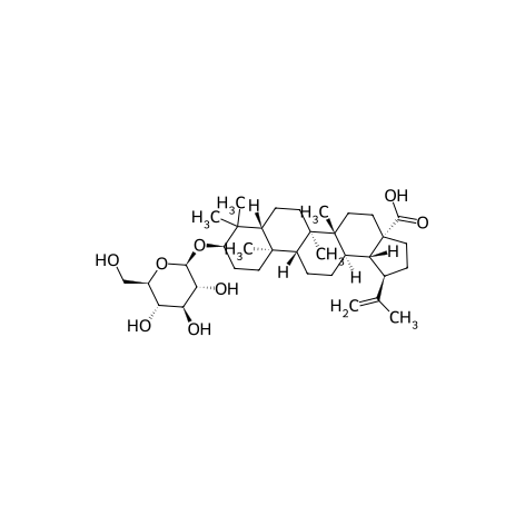 C=C(C)[C@@H]1CC[C@]2(C(=O)O)CC[C@]3(C)[C@H](CC[C@@H]4[C@@]5(C)CC[C@@H](O[C@@H]6O[C@H](CO)[C@@H](O)[C@H](O)[C@H]6O)C(C)(C)[C@@H]5CC[C@]43C)[C@@H]12